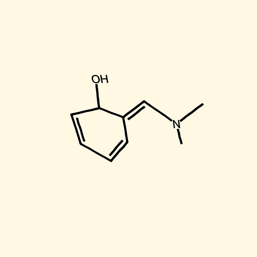 CN(C)C=C1C=CC=CC1O